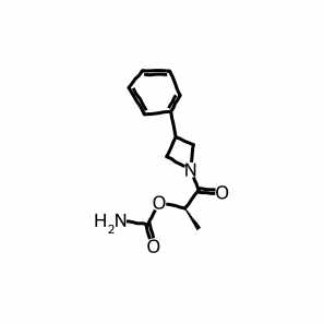 C[C@@H](OC(N)=O)C(=O)N1CC(c2ccccc2)C1